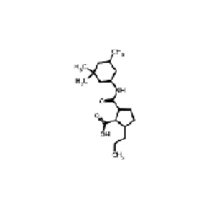 CCCC1CCC(C(=O)NC2CC(C)CC(C)(C)C2)C1C(=O)O